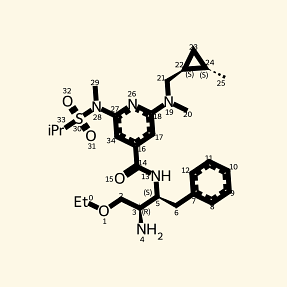 CCOC[C@H](N)[C@H](Cc1ccccc1)NC(=O)c1cc(N(C)C[C@H]2C[C@@H]2C)nc(N(C)S(=O)(=O)C(C)C)c1